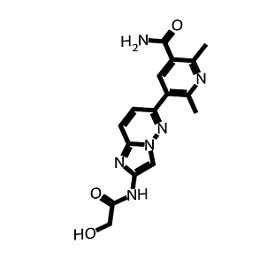 Cc1nc(C)c(-c2ccc3nc(NC(=O)CO)cn3n2)cc1C(N)=O